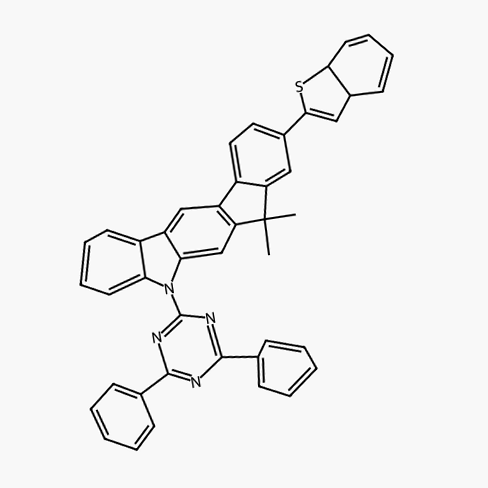 CC1(C)c2cc(C3=CC4C=CC=CC4S3)ccc2-c2cc3c4ccccc4n(-c4nc(-c5ccccc5)nc(-c5ccccc5)n4)c3cc21